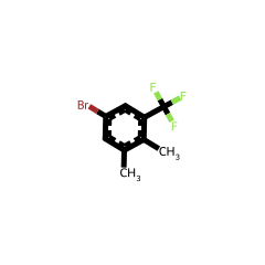 Cc1cc(Br)cc(C(F)(F)F)c1C